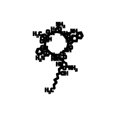 CCCCCCC[C@@H](O)CC(=O)N[C@H](CCN)C(=O)N[C@H]1CCNC(=O)[C@H](Cc2ccc3ccccc3c2)NC(=O)[C@H](CCN)NC(=O)[C@H](CCN)NC(=O)[C@H](CC(C)C)NC(=O)[C@@H](Cc2ccccc2)NC(=O)[C@H](CCN)NC1=O